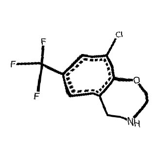 FC(F)(F)c1cc(Cl)c2c(c1)CNCO2